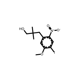 COc1cc(CC(C)(C)CO)c([N+](=O)[O-])cc1I